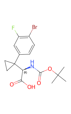 CC(C)(C)OC(=O)N[C@@H](C(=O)O)C1(c2ccc(Br)c(F)c2)CC1